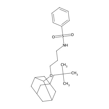 CC(C)(C)CC12CC3CC(C1)C(OCCCNS(=O)(=O)c1ccccc1)C(C3)C2